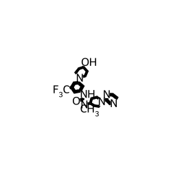 CN(C(=O)Nc1cc(N2CCC(O)CC2)cc(C(F)(F)F)c1)C1CCN(c2cnccn2)CC1